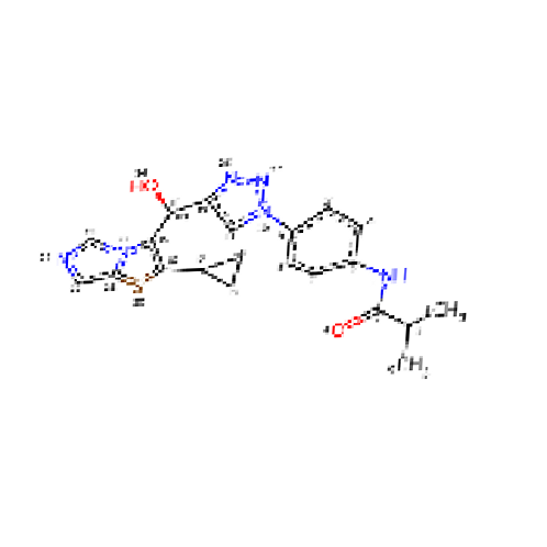 CC(C)C(=O)Nc1ccc(-n2cc([C@H](O)c3c(C4CC4)sc4cncn34)nn2)cc1